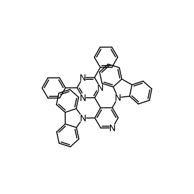 c1ccc(-c2nc(-c3ccccc3)nc(-c3c(-n4c5ccccc5c5ccccc54)cncc3-n3c4ccccc4c4ccccc43)n2)cc1